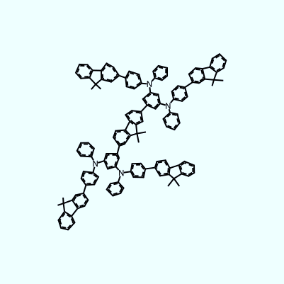 CC1(C)c2ccccc2-c2ccc(-c3ccc(N(c4ccccc4)c4cc(-c5ccc6c(c5)C(C)(C)c5cc(-c7cc(N(c8ccccc8)c8ccc(-c9ccc%10c(c9)C(C)(C)c9ccccc9-%10)cc8)cc(N(c8ccccc8)c8ccc(-c9ccc%10c(c9)C(C)(C)c9ccccc9-%10)cc8)c7)ccc5-6)cc(N(c5ccccc5)c5ccc(-c6ccc7c(c6)C(C)(C)c6ccccc6-7)cc5)c4)cc3)cc21